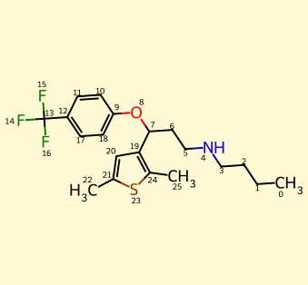 CCCCNCCC(Oc1ccc(C(F)(F)F)cc1)c1cc(C)sc1C